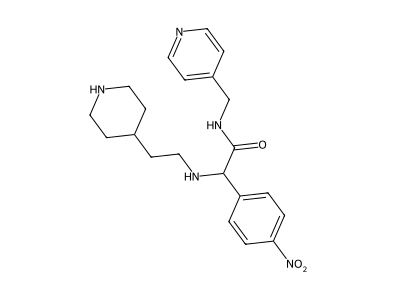 O=C(NCc1ccncc1)C(NCCC1CCNCC1)c1ccc([N+](=O)[O-])cc1